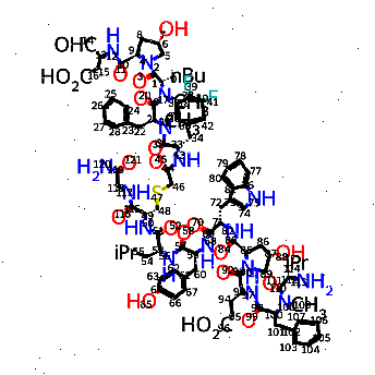 CCCC[C@@H](C(=O)N1C[C@@H](O)C[C@@H]1C(=O)N[C@H](C=O)CC(=O)O)N(C)C(=O)[C@H](Cc1ccccc1)N(C)C(=O)[C@H](Cc1ccc(F)c(F)c1)NC(=O)CSC[C@H](NC(=O)[C@H](CC(C)C)NC(=O)[C@H](Cc1ccc(O)cc1)NC(=O)[C@H](Cc1c[nH]c2ccccc12)NC(=O)[C@H]1C[C@H](O)CN1C(=O)[C@H](CCC(=O)O)NC(=O)C(Cc1ccccc1)N(C)C(=O)[C@@H](N)C(C)C)C(=O)NCC(N)=O